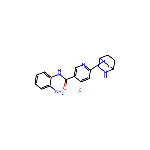 Cl.Nc1ccccc1NC(=O)c1ccc(N2CC3CCC2CN3)nc1